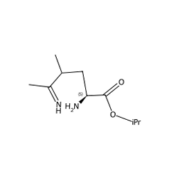 CC(=N)C(C)C[C@H](N)C(=O)OC(C)C